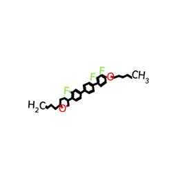 C=CCCC1CCC(c2ccc(-c3ccc(-c4ccc(OCCCCCC)c(F)c4F)cc3)cc2F)CO1